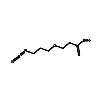 CNC(=O)CCOCCCN=[N+]=[N-]